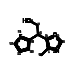 Cc1ncoc1C(CO)c1cccs1